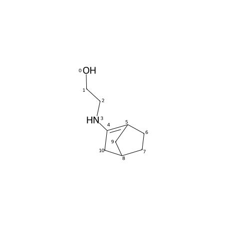 OCCNC1=C2CCC(C2)C1